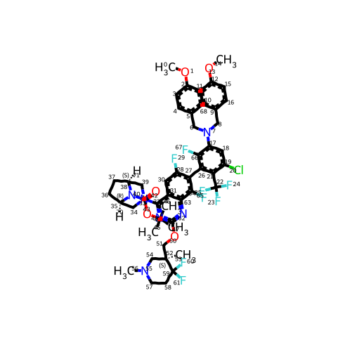 COc1ccc(CN(Cc2ccc(OC)cc2)c2cc(Cl)c(C(F)(F)F)c(-c3c(F)cc4c(N5C[C@H]6CC[C@@H](C5)N6C(=O)OC(C)(C)C)nc(OC[C@]5(C)CN(C)CCC5(F)F)nc4c3F)c2F)cc1